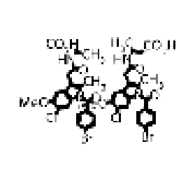 COc1cc2c(CC(=O)NC(C)C(=O)O)c(C)n(C(=O)c3ccc(Br)cc3)c2cc1Cl.COc1cc2c(CC(=O)NC(C)CC(=O)O)c(C)n(C(=O)c3ccc(Br)cc3)c2cc1Cl